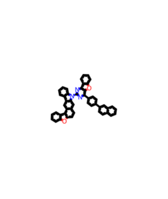 c1ccc2cc(-c3ccc(-c4nc(-n5c6ccccc6c6cc7c(ccc8oc9ccccc9c87)cc65)nc5c4oc4ccccc45)cc3)ccc2c1